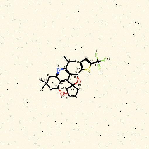 CC(C)c1nc2c(c3c1[C@@H](c1ccc(C(F)(F)F)s1)OC31CCCC1)[C@@H](O)CC(C)(C)C2